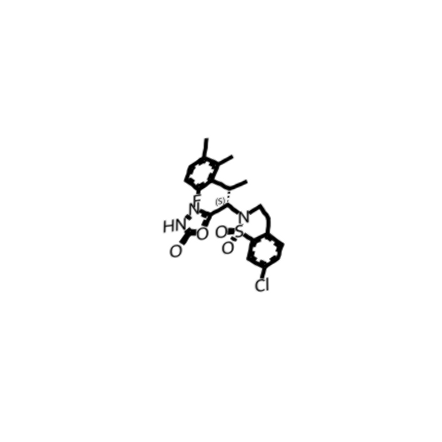 Cc1ccc(F)c(C(C)[C@@H](c2n[nH]c(=O)o2)N2CCc3ccc(Cl)cc3S2(=O)=O)c1C